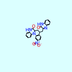 O=c1[nH]c2ccccc2nc1CC(Cc1nc2ccccc2[nH]c1=O)c1ccc([N+](=O)[O-])cc1